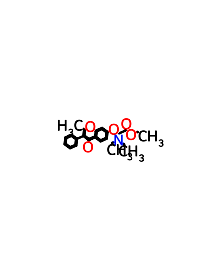 CCOC(=O)C(Oc1ccc2c(=O)c(-c3ccccc3)c(C)oc2c1)N(CC)CC